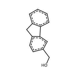 OCc1ccc2c(c1)-c1ccccc1C2